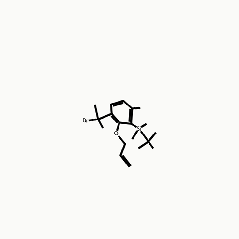 C=CCOc1c(C(C)(C)Br)ccc(C)c1[Si](C)(C)C(C)(C)C